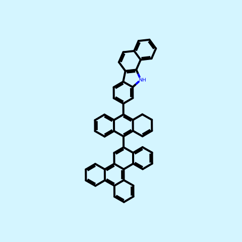 C1=Cc2c(c(-c3ccc4c(c3)[nH]c3c5ccccc5ccc43)c3ccccc3c2-c2cc3c4ccccc4c4ccccc4c3c3ccccc23)CC1